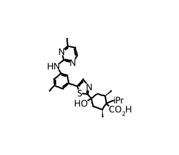 Cc1cc(Nc2nccc(C)n2)cc(-c2cnc(C3(O)C[C@@H](C)C(C(=O)O)(C(C)C)[C@@H](C)C3)s2)c1